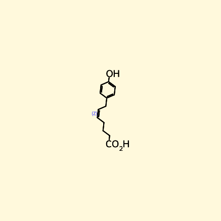 O=C(O)CCC/C=C\Cc1ccc(O)cc1